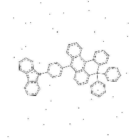 c1ccc(C2(c3ccccc3)c3ccccc3-c3c4ccccc4c(-c4ccc(-n5c6ccccc6c6ccccc65)cc4)c4cccc2c34)cc1